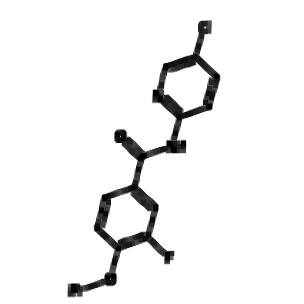 CC(C)Oc1ccc(C(=O)Nc2ccc(Cl)cn2)cc1F